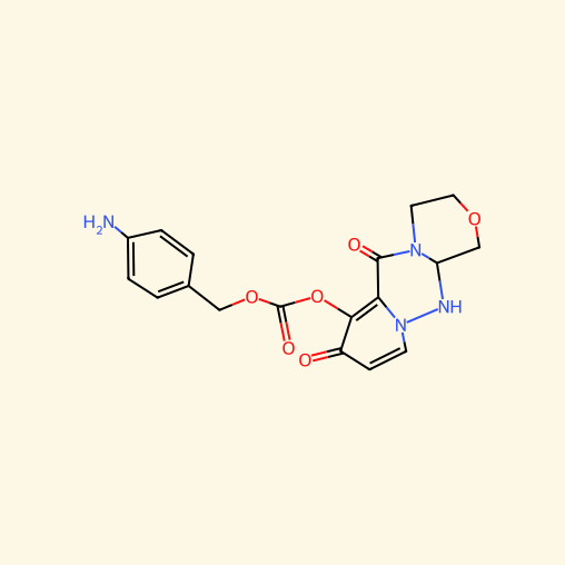 Nc1ccc(COC(=O)Oc2c3n(ccc2=O)NC2COCCN2C3=O)cc1